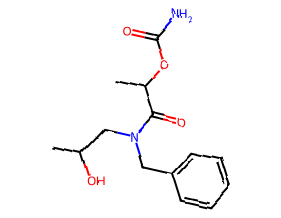 CC(O)CN(Cc1ccccc1)C(=O)C(C)OC(N)=O